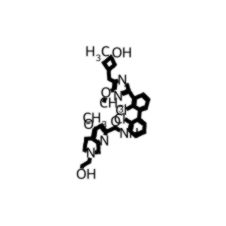 COc1cc(C(=O)Nc2cccc(-c3cccc(-c4cnc(CC5CC(C)(O)C5)c(OC)n4)c3Cl)c2Cl)nc2c1CCN(CCO)C2